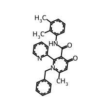 Cc1cccc(NC(=O)c2c(-c3ccccn3)n(Cc3ccccc3)c(C)cc2=O)c1C